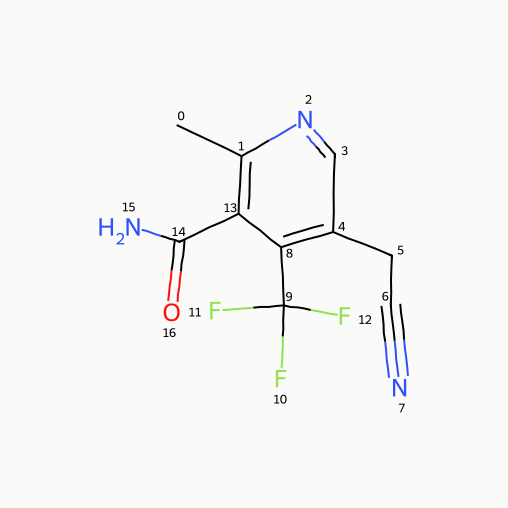 Cc1ncc(CC#N)c(C(F)(F)F)c1C(N)=O